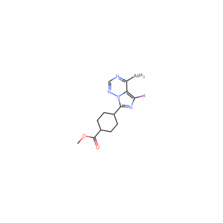 COC(=O)C1CCC(c2nc(I)c3c([AsH2])ncnn23)CC1